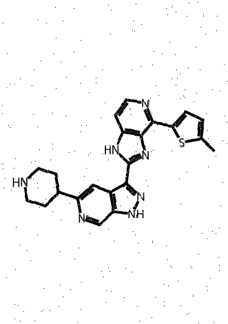 Cc1ccc(-c2nccc3[nH]c(-c4n[nH]c5cnc(C6CCNCC6)cc45)nc23)s1